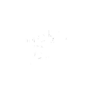 Cc1ccc(S(=O)(=O)c2cc(NC(=O)C(Br)CBr)c(Cl)cc2N)cc1S(=O)(=O)O